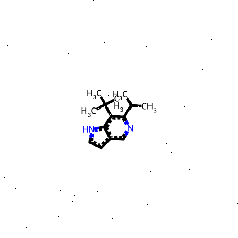 CC(C)c1ncc2cc[nH]c2c1C(C)(C)C